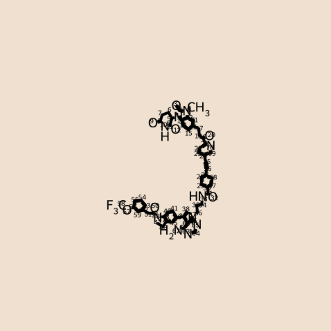 Cn1c(=O)n(C2CCC(=O)NC2=O)c2ccc(CCC(=O)c3ccc(C#Cc4ccc(C(=O)NCCCn5cc(-c6ccc7c(c6)CCN7C(=O)Cc6cccc(OC(F)(F)F)c6)c6c(N)ncnc65)cc4)cn3)cc21